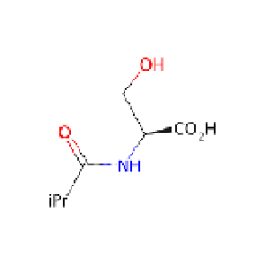 CC(C)C(=O)N[C@@H](CO)C(=O)O